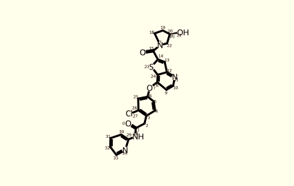 O=C(Cc1ccc(Oc2ccnc3cc(C(=O)N4CC[C@@H](O)C4)sc23)cc1Cl)Nc1ccccn1